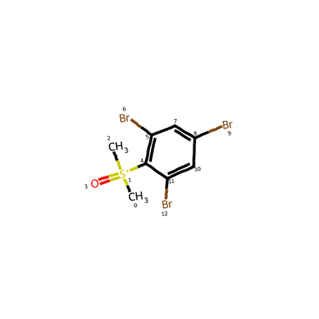 C[S+](C)(=O)c1c(Br)cc(Br)cc1Br